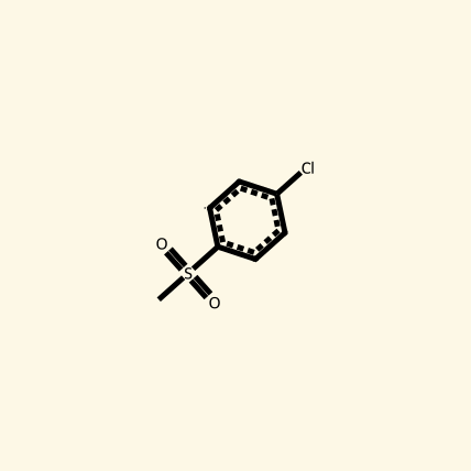 CS(=O)(=O)c1[c]cc(Cl)cc1